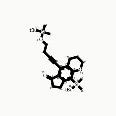 CC(C)(C)[Si](C)(C)OCCC#Cc1c2c(c([Si](C)(C)C(C)(C)C)c3c1C(=O)CC3)OCCC2